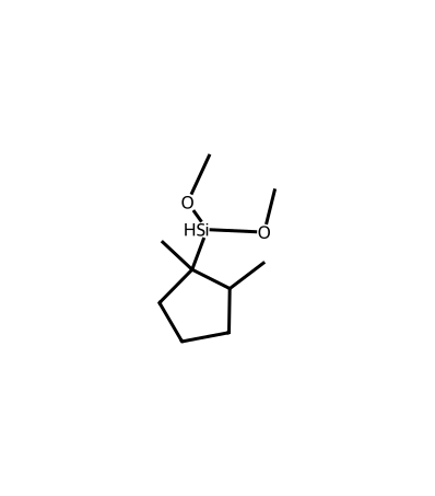 CO[SiH](OC)C1(C)CCCC1C